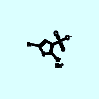 O=S(=O)([O-])c1cc(Br)sc1Br.[Na+]